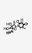 Cc1cn([C@@H]2O[C@]3(N=[N+]=[N-])C(O)[C@]3(O)[C@@H]2F)c(=O)[nH]c1=O